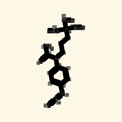 CO[Si](CCCN(C(N)=S)c1ccc(N=C=S)cc1)(OC)OC